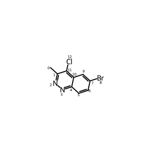 Cc1nnc2ccc(Br)cc2c1Cl